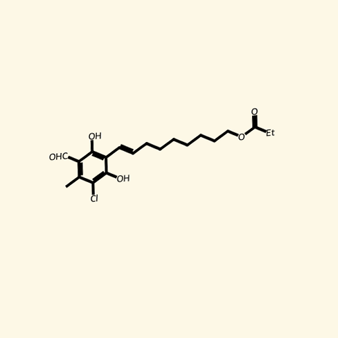 CCC(=O)OCCCCCCC/C=C/c1c(O)c(Cl)c(C)c(C=O)c1O